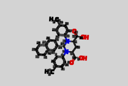 Cc1ccc(N2C(C(=O)O)CC(C(=O)O)N(c3ccc(C)cc3)C2c2ccc3ccccc3c2)cc1